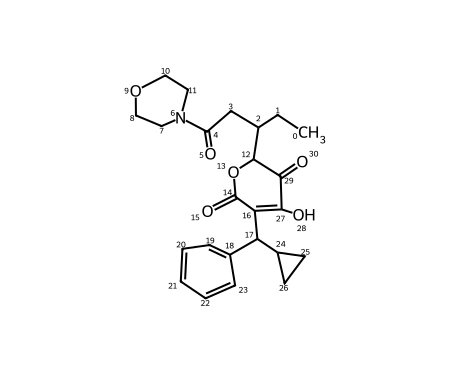 CCC(CC(=O)N1CCOCC1)C1OC(=O)C(C(c2ccccc2)C2CC2)=C(O)C1=O